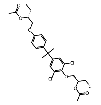 CC[C@H](COc1ccc(C(C)(C)c2cc(Cl)c(OC[C@@H](CCl)OC(C)=O)c(Cl)c2)cc1)OC(C)=O